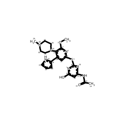 COc1nc(Sc2nc(O)cc(NC(C)=O)n2)cc(-c2ccc[nH]2)c1N1CCN(C)CC1